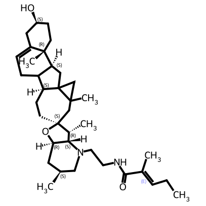 CC/C=C(\C)C(=O)NCCN1C[C@@H](C)C[C@H]2O[C@]3(CC[C@H]4C5CC=C6C[C@@H](O)CC[C@]6(C)[C@H]5CC45CC5(C)C3)[C@H](C)[C@@H]21